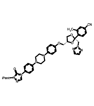 CCCC(C)n1ncn(-c2ccc(N3CCN(c4ccc(OC[C@@H]5CO[C@@](Cn6nccn6)(c6ccc(C#N)cc6C)O5)cc4)CC3)cc2)c1=O